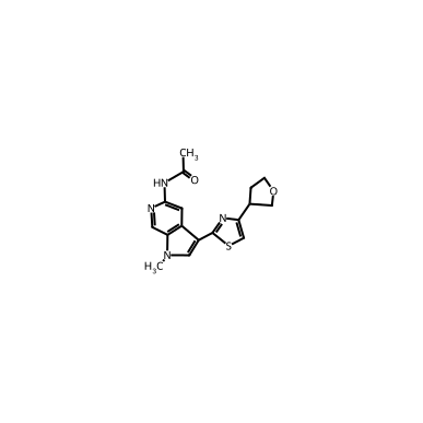 CC(=O)Nc1cc2c(-c3nc(C4CCOC4)cs3)cn(C)c2cn1